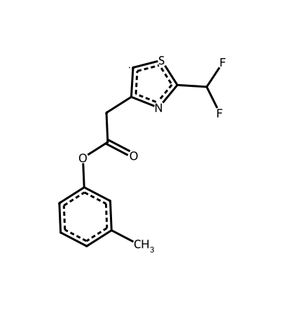 Cc1cccc(OC(=O)Cc2[c]sc(C(F)F)n2)c1